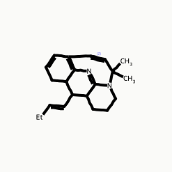 CCC=CC1C2CCCN3C2=NC2=C(C=CCC21)/C=C\C3(C)C